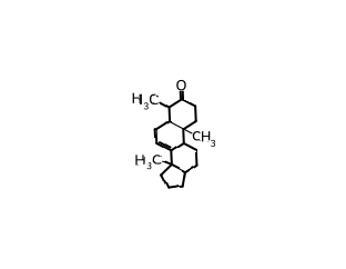 CC1C(=O)CCC2(C)C3CCC4CCCC4(C)C3=CCC12